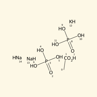 CC(=O)O.O=P(O)(O)O.O=P(O)(O)O.[KH].[NaH].[NaH]